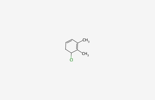 CC1=C(C)C(Cl)CC=C1